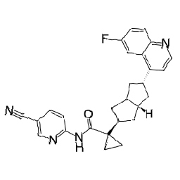 N#Cc1ccc(NC(=O)C2([C@H]3CC4C[C@H](c5ccnc6ccc(F)cc56)C[C@@H]4C3)CC2)nc1